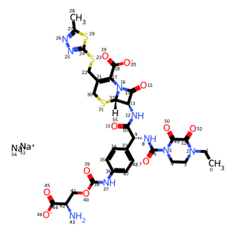 CCN1CCN(C(=O)N[C@@H](C(=O)N[C@@H]2C(=O)N3C(C(=O)[O-])=C(CSc4nnc(C)s4)CS[C@@H]23)c2ccc(NC(=O)OC[C@@H](N)C(=O)[O-])cc2)C(=O)C1=O.[Na+].[Na+]